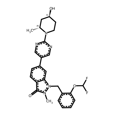 C[C@@H]1C[C@@H](O)CCN1c1ncc(-c2ccc3c(=O)n(C)n(Cc4ccccc4OC(F)F)c3c2)cn1